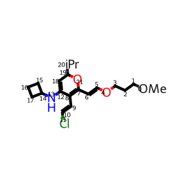 COCCCO/C=C/C1=C(/C=C/Cl)C(NC2CCC2)=CC(C(C)C)O1